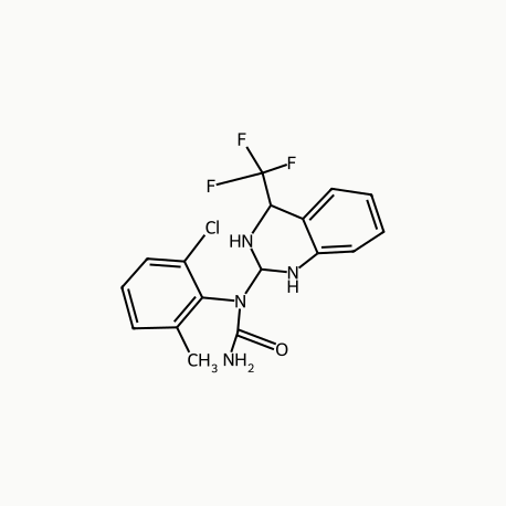 Cc1cccc(Cl)c1N(C(N)=O)C1Nc2ccccc2C(C(F)(F)F)N1